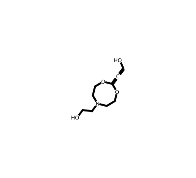 OC=C=C1OCCN(CCO)CCO1